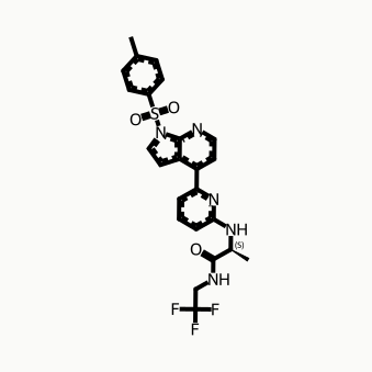 Cc1ccc(S(=O)(=O)n2ccc3c(-c4cccc(N[C@@H](C)C(=O)NCC(F)(F)F)n4)ccnc32)cc1